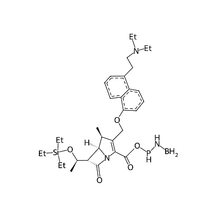 BNPOC(=O)C1=C(COc2cccc3c(CCN(CC)CC)cccc23)[C@H](C)[C@@H]2[C@@H]([C@@H](C)O[Si](CC)(CC)CC)C(=O)N12